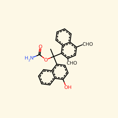 CC(OC(N)=O)(c1ccc(O)c2ccccc12)c1c(C=O)cc(C=O)c2ccccc12